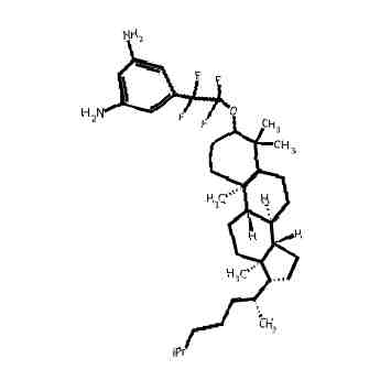 CC(C)CCC[C@@H](C)[C@H]1CC[C@H]2[C@@H]3CCC4C(C)(C)C(OC(F)(F)C(F)(F)c5cc(N)cc(N)c5)CC[C@]4(C)[C@H]3CC[C@]12C